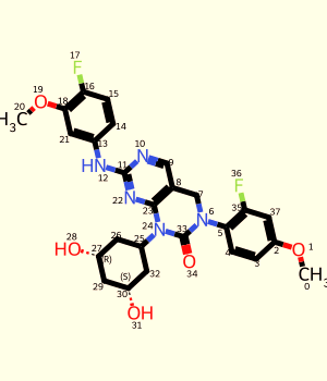 COc1ccc(N2Cc3cnc(Nc4ccc(F)c(OC)c4)nc3N(C3C[C@@H](O)C[C@@H](O)C3)C2=O)c(F)c1